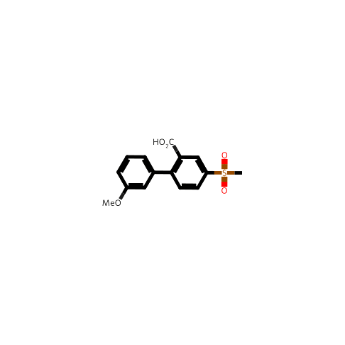 COc1cccc(-c2ccc(S(C)(=O)=O)cc2C(=O)O)c1